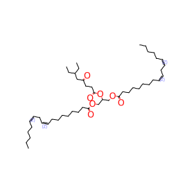 CCCCC/C=C\C/C=C\CCCCCCCC(=O)OCC(COC(=O)CCCCCCC/C=C\C/C=C\CCCCC)OC(=O)CCC(=O)CC(CC)CC